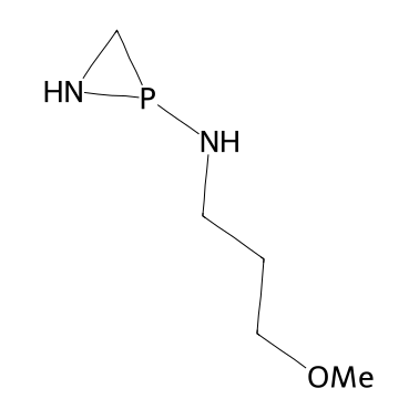 COCCCNP1CN1